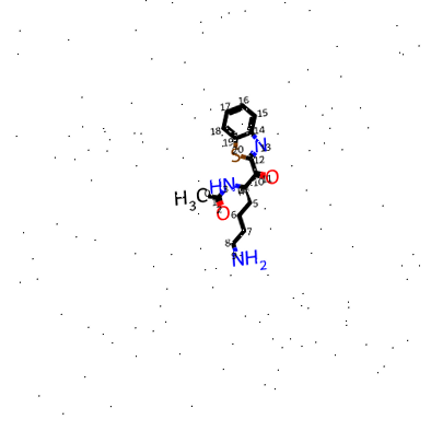 CC(=O)N[C@H](CCCCN)C(=O)c1nc2ccccc2s1